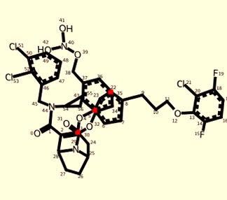 O=C(C1=C(Oc2ccc(CCCOc3c(F)ccc(F)c3Cl)cc2)CC2CCC1N2C(=O)Oc1cccc(CON(O)O)c1)N(Cc1cccc(Cl)c1Cl)C1CC1